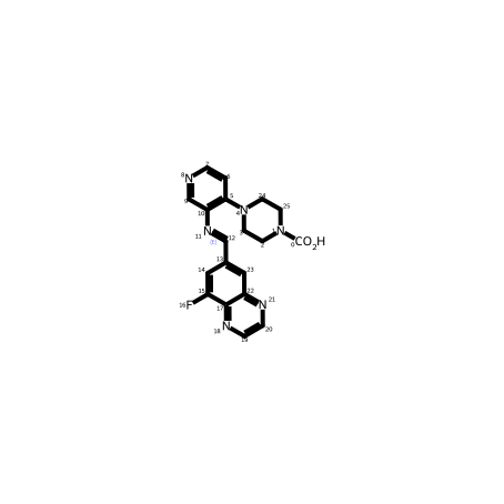 O=C(O)N1CCN(c2ccncc2/N=C/c2cc(F)c3nccnc3c2)CC1